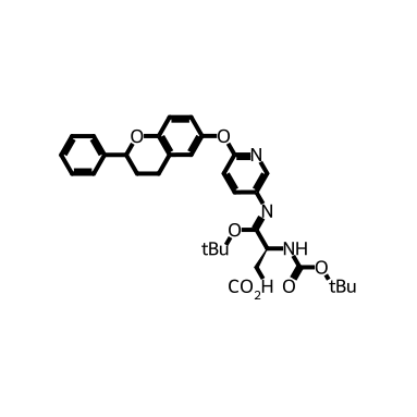 CC(C)(C)OC(=O)N[C@@H](CC(=O)O)C(=Nc1ccc(Oc2ccc3c(c2)CCC(c2ccccc2)O3)nc1)OC(C)(C)C